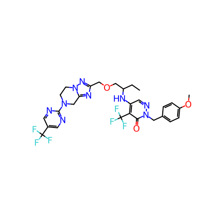 CCC(COCc1nc2n(n1)CCN(c1ncc(C(F)(F)F)cn1)C2)Nc1cnn(Cc2ccc(OC)cc2)c(=O)c1C(F)(F)F